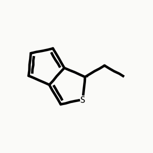 CC[C]1SC=C2C=CC=C12